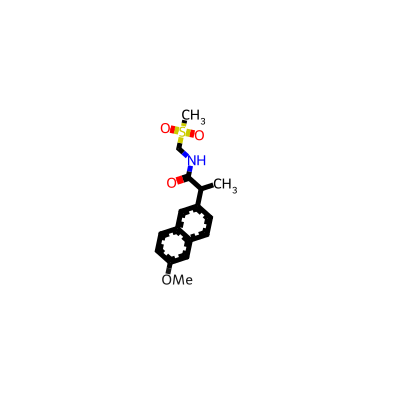 COc1ccc2cc(C(C)C(=O)NCS(C)(=O)=O)ccc2c1